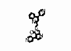 O=C1c2c(-c3ccncc3)ccnc2CN1CCc1cc(-c2ccncc2)c2ccccc2n1